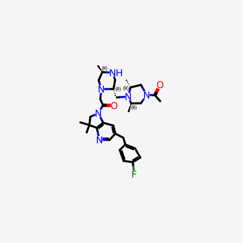 CC(=O)N1C[C@@H](C)N(C[C@H]2CN[C@H](C)CN2CC(=O)N2CC(C)(C)c3ncc(Cc4ccc(F)cc4)cc32)[C@H](C)C1